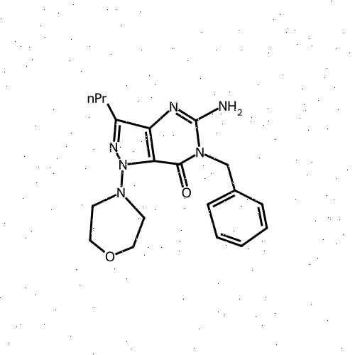 CCCc1nn(N2CCOCC2)c2c(=O)n(Cc3ccccc3)c(N)nc12